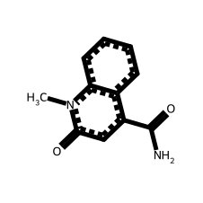 Cn1c(=O)cc(C(N)=O)c2ccccc21